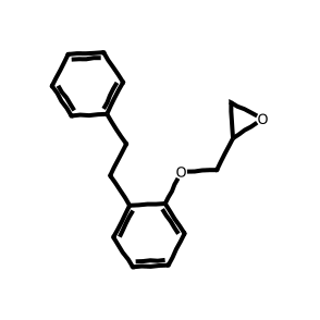 c1ccc(CCc2ccccc2OCC2CO2)cc1